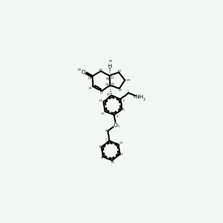 NCc1cc(OCc2ccccc2)ccc1[C@]12C=CC(=O)C[C@H]1CCC2